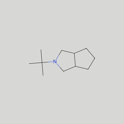 CC(C)(C)N1CC2CCCC2C1